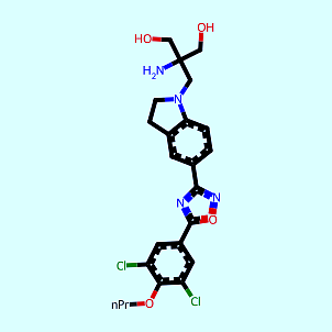 CCCOc1c(Cl)cc(-c2nc(-c3ccc4c(c3)CCN4CC(N)(CO)CO)no2)cc1Cl